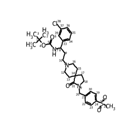 CC(C)(C)OC(=O)NC(CCN1CCC2(CC1)CCN(Cc1ccc(S(C)(=O)=O)cc1)C2=O)c1cccc(Cl)c1